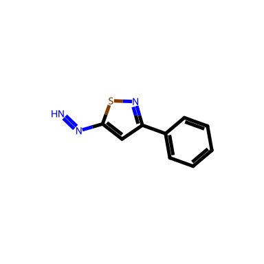 N=Nc1cc(-c2ccccc2)ns1